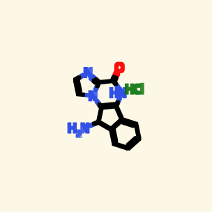 Cl.NC1c2ccccc2-c2[nH]c(=O)c3nccn3c21